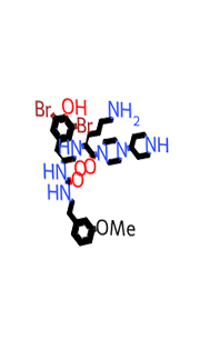 COc1cccc(CCNC(=O)N[C@@H](Cc2cc(Br)c(O)c(Br)c2)C(=O)N[C@@H](CCCCN)C(=O)N2CCN(C3CCNCC3)CC2)c1